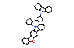 C1=C(c2ccccc2-n2c3ccccc3c3cc4oc5ccccc5c4cc32)C=C(n2c3ccccc3c3ccccc32)CC1